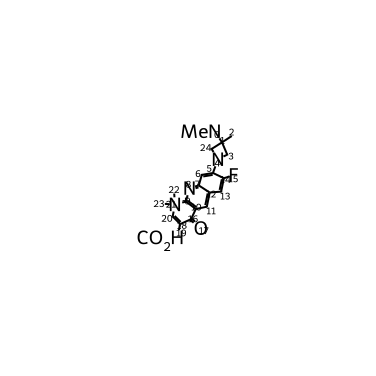 CNC1(C)CN(c2cc3nc4c(cc3cc2F)C(=O)C(C(=O)O)=C[N+]4(C)C)C1